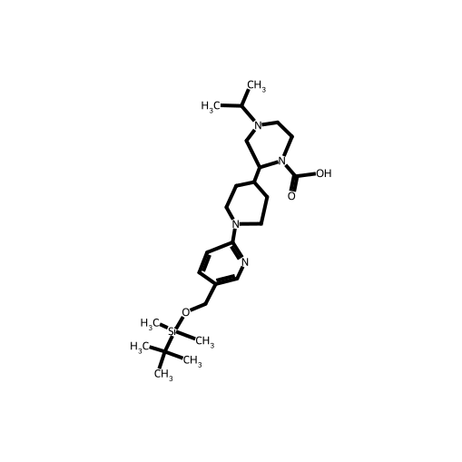 CC(C)N1CCN(C(=O)O)C(C2CCN(c3ccc(CO[Si](C)(C)C(C)(C)C)cn3)CC2)C1